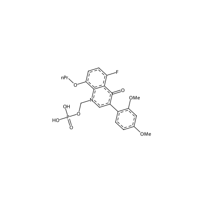 CCCOc1ccc(F)c2c(=O)c(-c3ccc(OC)cc3OC)cn(COP(=O)(O)O)c12